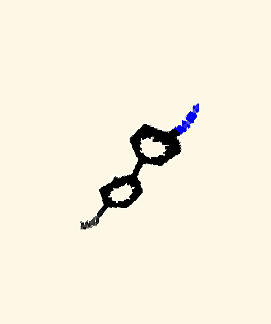 COc1ccc(-c2ccc([N+]#N)cc2)cc1